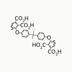 CC(C)(c1ccc(Oc2scc(C(=O)O)c2C(=O)O)cc1)c1ccc(Oc2scc(C(=O)O)c2C(=O)O)cc1